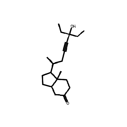 CCC(O)(C#CCC(C)C1CCC2CC(=O)CCC21C)CC